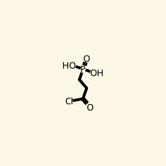 O=C(Cl)CCP(=O)(O)O